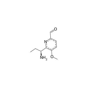 CC[C@H](N)c1nc(C=O)ccc1OC